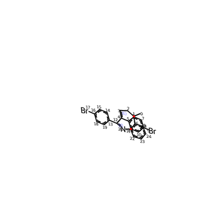 CC1C/C=C(c2ccc(Br)cc2)/C(c2ccc(Br)cc2)=N\c2ccccc21